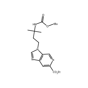 CCOC(=O)c1cc2ncn(CCC(C)(C)NC(=O)OC(C)(C)C)c2cn1